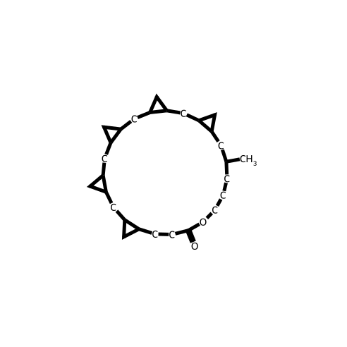 CC1CCCOC(=O)CCC2CC2CC2CC2CC2CC2CC2CC2CC2CC2C1